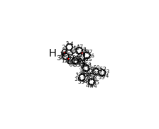 Cc1ccccc1C1(c2ccccc2C)c2ccccc2-c2c(N(c3ccccc3)c3ccc(C4(c5ccccc5)c5ccccc5-c5c4ccc4ccccc54)cc3)cccc21